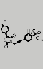 CP(C)(=O)c1ccc(C#CCN2C(=O)SC(=C3CCC(F)(F)CC3)C2=O)cc1